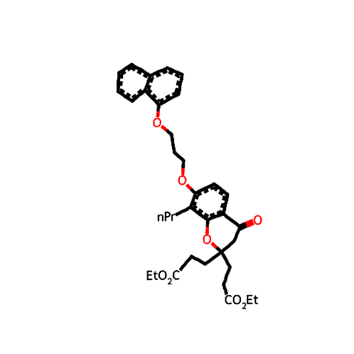 CCCc1c(OCCCOc2cccc3ccccc23)ccc2c1OC(CCC(=O)OCC)(CCC(=O)OCC)CC2=O